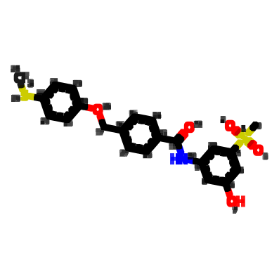 CS(=O)(=O)c1cc(O)cc(NC(=O)c2ccc(COc3ccc(SC(F)(F)F)cc3)cc2)c1